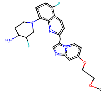 COCCOc1ccn2c(-c3ccc4c(F)ccc(N5CCC(N)C(F)C5)c4n3)cnc2c1